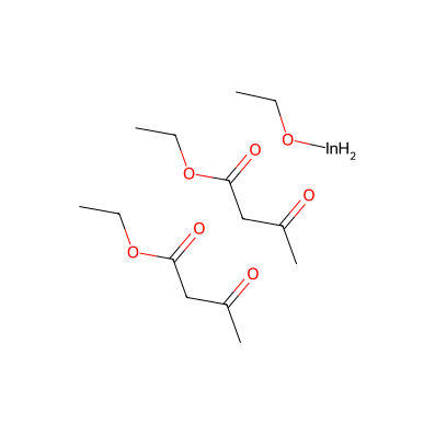 CCOC(=O)CC(C)=O.CCOC(=O)CC(C)=O.CC[O][InH2]